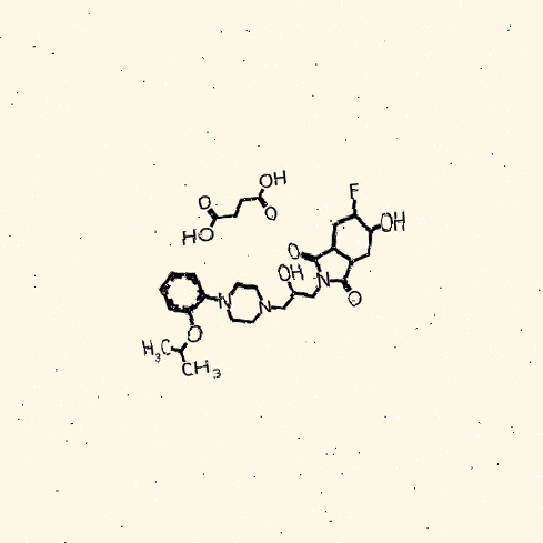 CC(C)Oc1ccccc1N1CCN(CC(O)CN2C(=O)C3CC(O)C(F)CC3C2=O)CC1.O=C(O)CCC(=O)O